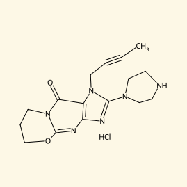 CC#CCn1c(N2CCNCC2)nc2nc3n(c(=O)c21)CCCO3.Cl